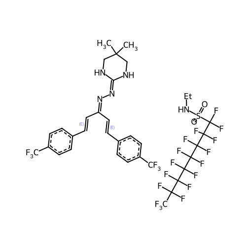 CC1(C)CNC(=NN=C(/C=C/c2ccc(C(F)(F)F)cc2)/C=C/c2ccc(C(F)(F)F)cc2)NC1.CCNS(=O)(=O)C(F)(F)C(F)(F)C(F)(F)C(F)(F)C(F)(F)C(F)(F)C(F)(F)C(F)(F)F